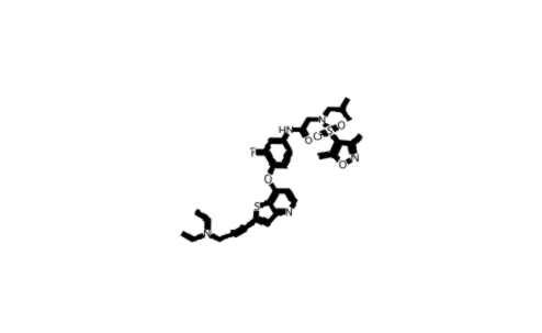 CCN(CC)CC#Cc1cc2nccc(Oc3ccc(NC(=O)CN(CC(C)C)S(=O)(=O)c4c(C)noc4C)cc3F)c2s1